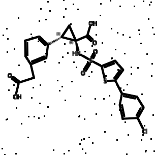 O=C(O)Cc1cccc([C@@H]2C[C@]2(NS(=O)(=O)c2ccc(-c3ccc(Cl)cc3)s2)C(=O)O)c1